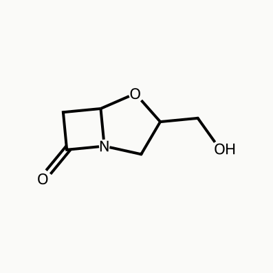 O=C1CC2OC(CO)CN12